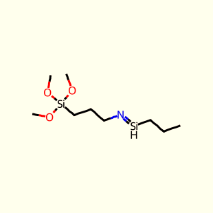 CCC[SiH]=NCCC[Si](OC)(OC)OC